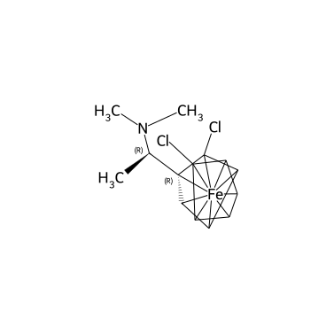 C[C@@H](N(C)C)[C@@]12[CH]3[CH]4[CH]5[C]1(Cl)[Fe]45321678[CH]2[CH]1[CH]6[C]7(Cl)[CH]28